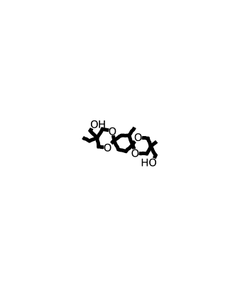 CCC1(CO)COC2(CCC3(OCC(C)(CO)CO3)C(C)C2)OC1